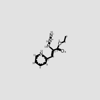 CCOC(=O)/C(=C/c1ccccn1)N=[N+]=[N-]